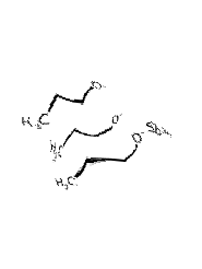 CCC[O-].CCC[O-].CCC[O-].[Sb+3]